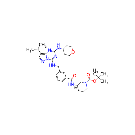 CC(C)c1cnn2c(NCc3cccc(C(=O)N[C@H]4CCCN(C(=O)OC(C)(C)C)C4)c3)nc(NC3CCOCC3)nc12